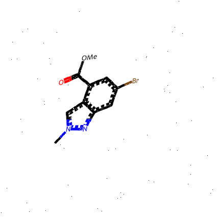 COC(=O)c1cc(Br)cc2nn(C)cc12